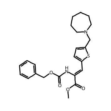 COC(=O)C(=Cc1ccc(CN2CCCCCC2)s1)NC(=O)OCc1ccccc1